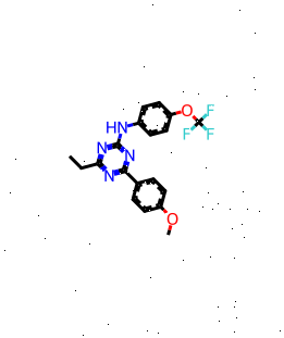 CCc1nc(Nc2ccc(OC(F)(F)F)cc2)nc(-c2ccc(OC)cc2)n1